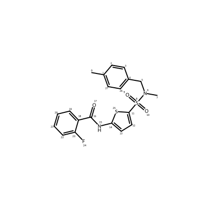 Cc1ccc(CN(C)S(=O)(=O)c2ccc(NC(=O)c3ccccc3F)s2)cc1